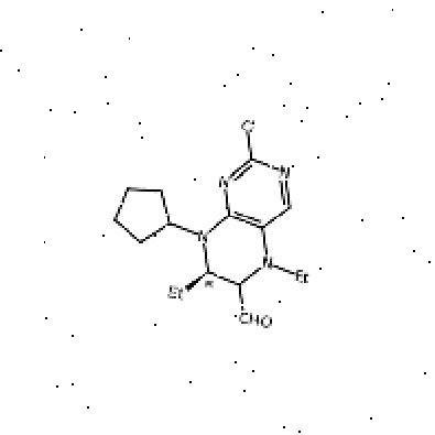 CC[C@@H]1C(C=O)N(CC)c2cnc(Cl)nc2N1C1CCCC1